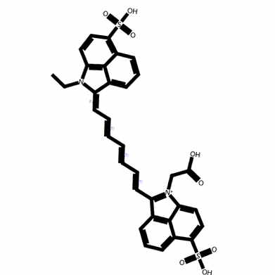 CCn1/c(=C/C=C/C=C/C=C/C2=[N+](CC(=O)O)c3ccc(S(=O)(=O)O)c4cccc2c34)c2cccc3c(S(=O)(=O)O)ccc1c32